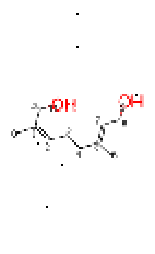 CC(=CCCC(C)=CCO)CO